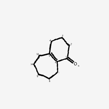 O=C1CCCC2=C1CCCCC2